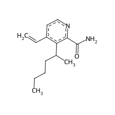 C=Cc1ccnc(C(N)=O)c1C(C)CCCC